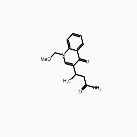 COCn1cc(C(C)CC(N)=O)c(=O)c2ccccc21